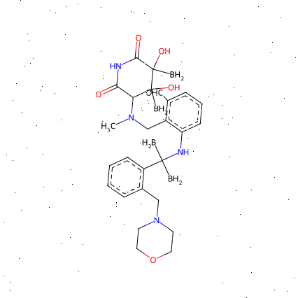 BC(B)(Nc1cccc(C=O)c1CN(C)C1C(=O)NC(=O)C(B)(O)C1(B)O)c1ccccc1CN1CCOCC1